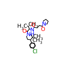 CC(C)[C@@H](NC(=O)CCC(=O)N1CCCC1)C(=O)N1CCC(c2ccc(Cl)cc2)C(C)(C)C1